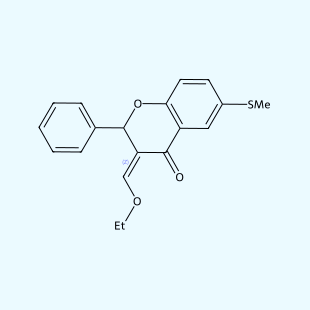 CCO/C=C1\C(=O)c2cc(SC)ccc2OC1c1ccccc1